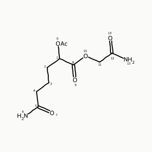 CC(=O)OC(CCCC(N)=O)C(=O)OCC(N)=O